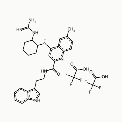 Cc1ccc2nc(C(=O)NCCc3c[nH]c4ccccc34)nc(NC3CCCCC3NC(=N)N)c2c1.O=C(O)C(F)(F)F.O=C(O)C(F)(F)F